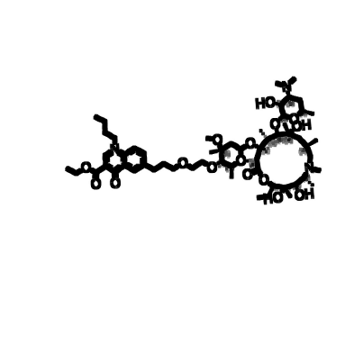 CCCCn1cc(C(=O)OCC)c(=O)c2cc(CCCOCCO[C@H]3[C@H](C)OC(O[C@H]4[C@H](C)[C@@H](O[C@@H]5O[C@H](C)C[C@H](N(C)C)[C@H]5O)[C@](C)(O)C[C@@H](C)CN(C)[C@H](C)[C@H](O)[C@](C)(O)[C@@H](CC)OC(=O)[C@@H]4C)C[C@@]3(C)OC)ccc21